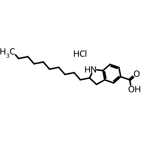 CCCCCCCCCCC1Cc2cc(C(=O)O)ccc2N1.Cl